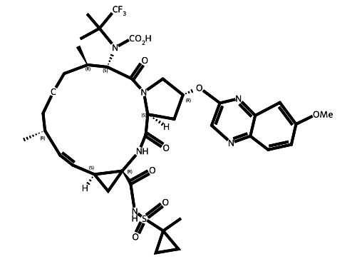 COc1ccc2ncc(O[C@@H]3C[C@H]4C(=O)N[C@]5(C(=O)NS(=O)(=O)C6(C)CC6)C[C@H]5C=C[C@H](C)CCC[C@@H](C)[C@H](N(C(=O)O)C(C)(C)C(F)(F)F)C(=O)N4C3)nc2c1